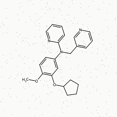 COc1ccc(N(Cc2cccnc2)c2ccccn2)cc1OC1CCCC1